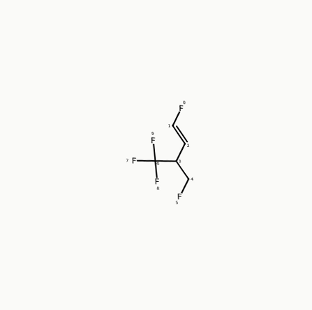 FC=CC(CF)C(F)(F)F